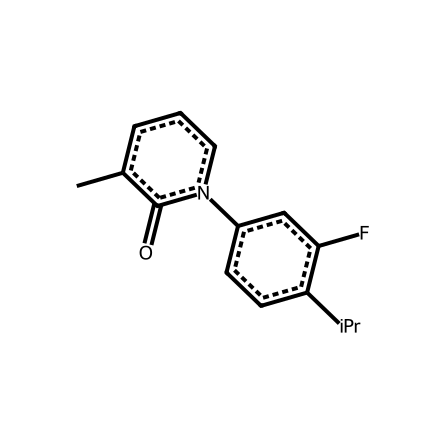 Cc1cccn(-c2ccc(C(C)C)c(F)c2)c1=O